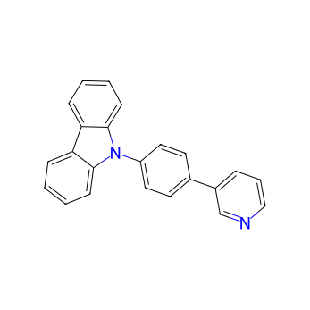 c1cncc(-c2ccc(-n3c4ccccc4c4ccccc43)cc2)c1